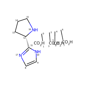 CC(=O)O.CC(=O)O.CC(=O)O.CC(=O)O.c1c[nH]c([C@@H]2CCCN2)n1